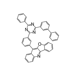 c1ccc(-c2cccc(-c3nc(-c4ccccc4)nc(-c4cccc(-c5c6ccccc6nc6c5oc5ccccc56)c4)n3)c2)cc1